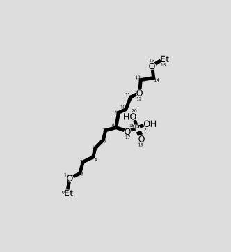 CCOCCCCCCC(CCCOCCOCC)OP(=O)(O)O